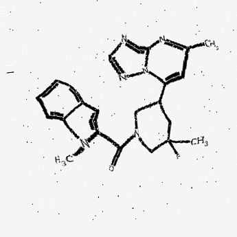 Cc1cc(C2CN(C(=O)c3cc4ccccc4n3C)CC(C)(F)C2)n2ncnc2n1